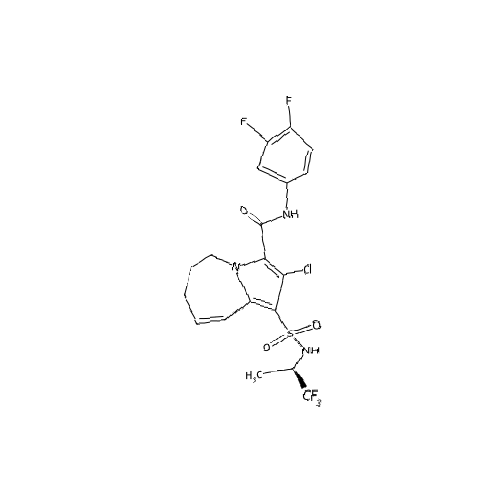 C[C@@H](NS(=O)(=O)c1c(Cl)c(C(=O)Nc2ccc(F)c(F)c2)n2c1C=CCCC2)C(F)(F)F